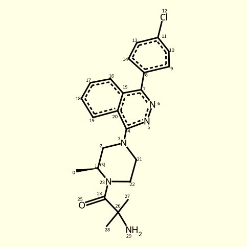 C[C@H]1CN(c2nnc(-c3ccc(Cl)cc3)c3ccccc23)CCN1C(=O)C(C)(C)N